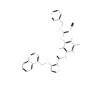 Cc1c(F)c(NC(=O)c2sccc2NCc2ccnc3ccccc23)c(F)c(NC(=NC#N)NCc2cccnc2)c1F